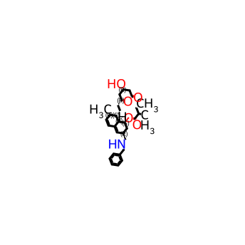 CCC(C)C(=O)O[C@H]1C[C@@H](CNCc2ccccc2)C=C2C=C[C@H](C)[C@H](CC[C@@H]3C[C@@H](O)CC(=O)O3)[C@H]21